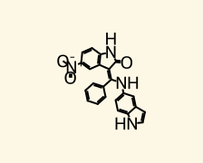 O=C1Nc2ccc([N+](=O)[O-])cc2/C1=C(/Nc1ccc2[nH]ccc2c1)c1ccccc1